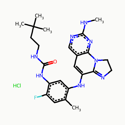 CNc1ncc2c(n1)N1CCN=C1C(Nc1cc(NC(=O)NCCC(C)(C)C)c(F)cc1C)=C2.Cl